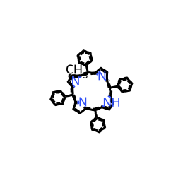 CCn1c2ccc1c(-c1ccccc1)c1nc(c(-c3ccccc3)c3ccc([nH]3)c(-c3ccccc3)c3nc(c2-c2ccccc2)C=C3)C=C1